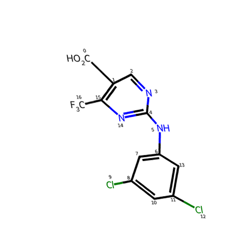 O=C(O)c1cnc(Nc2cc(Cl)cc(Cl)c2)nc1C(F)(F)F